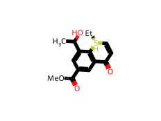 CC[SH]1C=CC(=O)c2cc(C(=O)OC)cc(C(C)O)c21